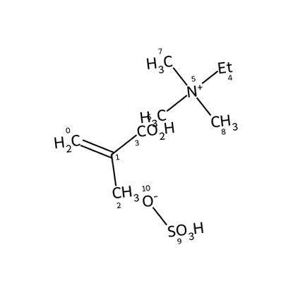 C=C(C)C(=O)O.CC[N+](C)(C)C.O=S(=O)([O-])O